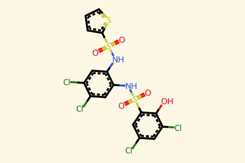 O=S(=O)(Nc1cc(Cl)c(Cl)cc1NS(=O)(=O)c1cc(Cl)cc(Cl)c1O)c1cccs1